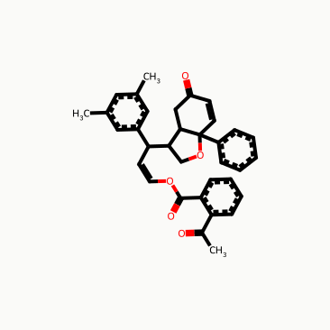 CC(=O)c1ccccc1C(=O)O/C=C\C(c1cc(C)cc(C)c1)C1COC2(c3ccccc3)C=CC(=O)CC12